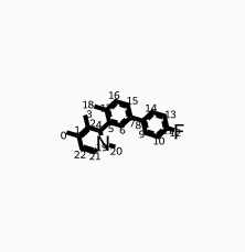 CC1=C(C)C(c2cc(-c3ccc(F)cc3)ccc2C)N(C)C=C1